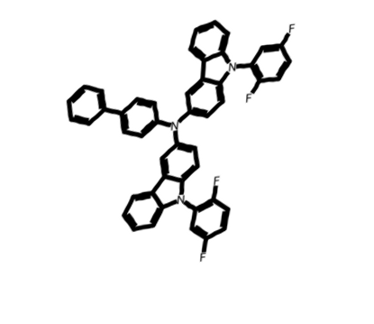 Fc1ccc(F)c(-n2c3ccccc3c3cc(N(c4ccc(-c5ccccc5)cc4)c4ccc5c(c4)c4ccccc4n5-c4cc(F)ccc4F)ccc32)c1